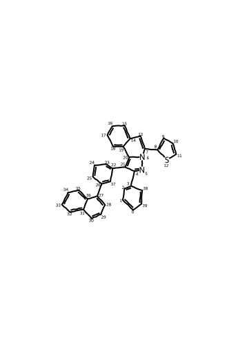 c1ccc(-c2nn3c(-c4cccs4)cc4ccccc4c3c2-c2cccc(-c3cccc4ccccc34)c2)cc1